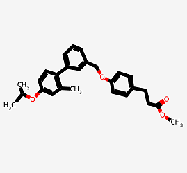 COC(=O)CCc1ccc(OCc2cccc(-c3ccc(OC(C)C)cc3C)c2)cc1